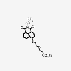 CCOC(=O)CCOCCSc1ccc2c3c(cccc13)C(=O)N(OSC(F)(F)F)C2=O